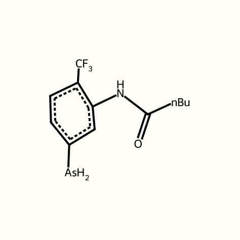 CCCCC(=O)Nc1cc([AsH2])ccc1C(F)(F)F